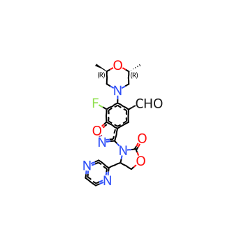 C[C@@H]1CN(c2c(C=O)cc3c(N4C(=O)OCC4c4cnccn4)noc3c2F)C[C@@H](C)O1